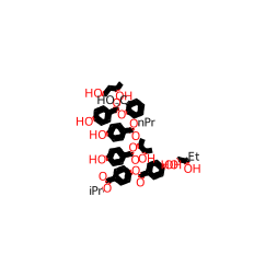 CC(C)OC(=O)c1ccc(OC(=O)c2ccc(O)cc2)cc1.CC(O)C(C)OC(=O)c1ccc(O)cc1.CC(O)CCO.CCC(O)CO.CCCOC(=O)c1ccc(O)cc1.O=C(Oc1ccccc1C(=O)O)c1ccc(O)cc1